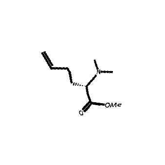 C=CCC[C@@H](C(=O)OC)N(C)C